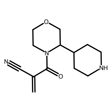 C=C(C#N)C(=O)N1CCOCC1C1CCNCC1